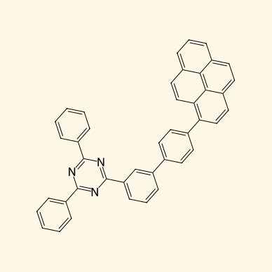 c1ccc(-c2nc(-c3ccccc3)nc(-c3cccc(-c4ccc(-c5ccc6ccc7cccc8ccc5c6c78)cc4)c3)n2)cc1